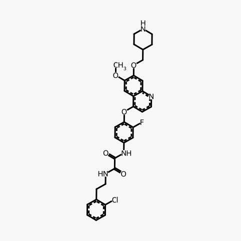 COc1cc2c(Oc3ccc(NC(=O)C(=O)NCCc4ccccc4Cl)cc3F)ccnc2cc1OCC1CCNCC1